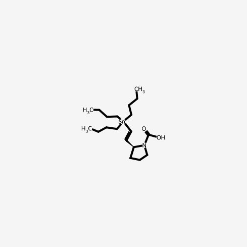 CCC[CH2][Sn]([CH]=C[C@@H]1CCCN1C(=O)O)([CH2]CCC)[CH2]CCC